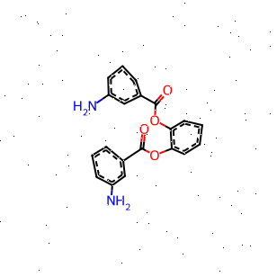 Nc1cccc(C(=O)Oc2ccccc2OC(=O)c2cccc(N)c2)c1